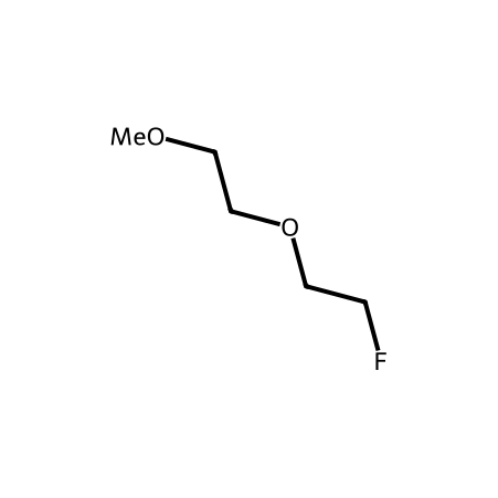 [CH2]OCCOCCF